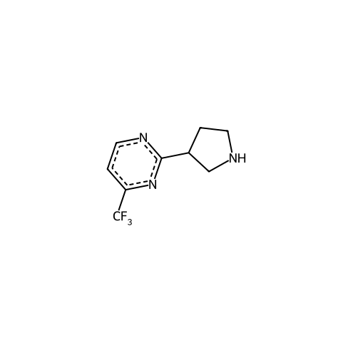 FC(F)(F)c1ccnc(C2CCNC2)n1